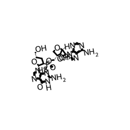 Nc1nc2c(ncn2[C@@H]2O[C@H](CO)C[C@H]2P(=O)(S)OC[C@@]23CO[C@@H]([C@H](n4cnc5c(N)ncnc54)O2)[C@@H]3O)c(=O)[nH]1